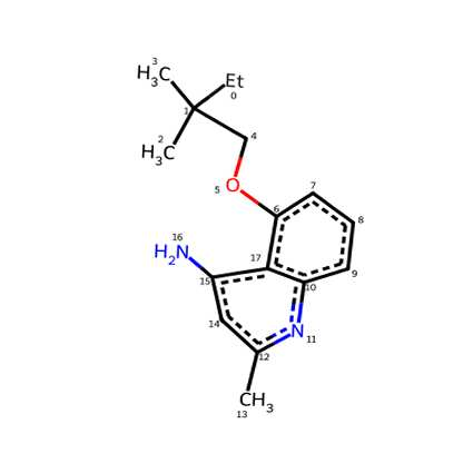 CCC(C)(C)COc1cccc2nc(C)cc(N)c12